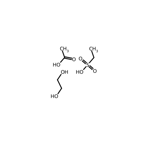 CC(=O)O.CCS(=O)(=O)O.OCCO